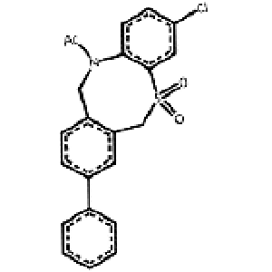 CC(=O)N1Cc2ccc(-c3ccccc3)cc2CS(=O)(=O)c2cc(Cl)ccc21